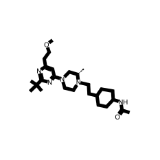 COCCc1cc(N2CCN(CCC3CCC(NC(C)=O)CC3)[C@@H](C)C2)nc(C(C)(C)C)n1